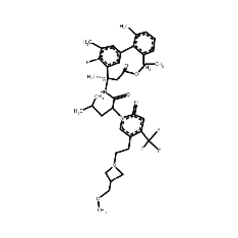 CCOC(=O)C[C@@](C)(NC(=O)C(CC(C)C)n1cc(CCN2CC(COC)C2)c(C(F)(F)F)cc1=O)c1cc(-c2c(C)cccc2C)cc(C)c1F